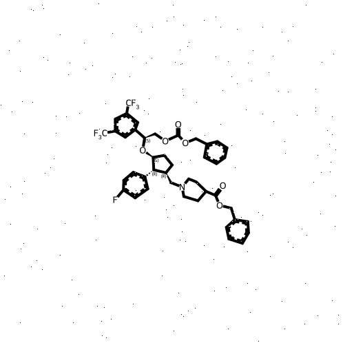 O=C(OCc1ccccc1)OC[C@@H](O[C@H]1CC[C@@H](CN2CCC(C(=O)OCc3ccccc3)CC2)[C@@H]1c1ccc(F)cc1)c1cc(C(F)(F)F)cc(C(F)(F)F)c1